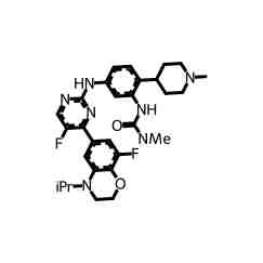 CNC(=O)Nc1cc(Nc2ncc(F)c(-c3cc(F)c4c(c3)N(C(C)C)CCO4)n2)ccc1C1CCN(C)CC1